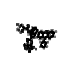 C=C(C)C(=O)OC12CC3CC(C1)CC(C(=O)OC(C(F)(F)F)C(F)(F)S(=O)(=O)[O-])(C3)C2.c1ccc(S2=c3ccccc3=[O+]c3ccccc32)cc1